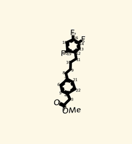 COC(=O)Cc1ccc(CCCCc2cc(F)c(F)cc2F)cc1